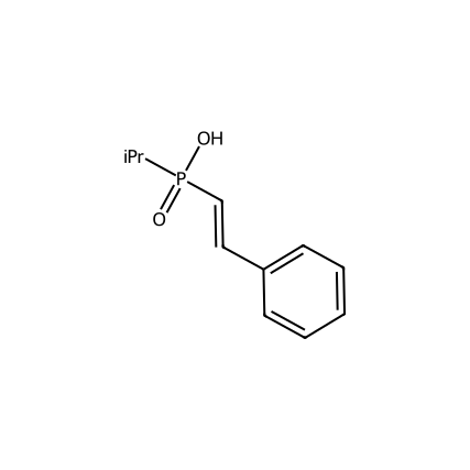 CC(C)P(=O)(O)/C=C/c1ccccc1